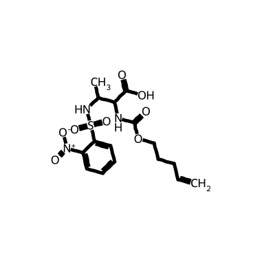 C=CCCCOC(=O)NC(C(=O)O)C(C)NS(=O)(=O)c1ccccc1[N+](=O)[O-]